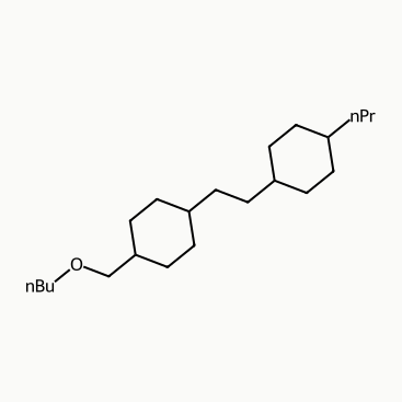 CCCCOCC1CCC(CCC2CCC(CCC)CC2)CC1